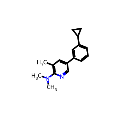 Cc1cc(-c2cccc(C3CC3)c2)cnc1N(C)C